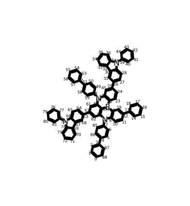 c1ccc(-c2ccc(N3c4ccc(-c5ccccc5)cc4B4c5ccc(-c6ccc7c(c6)c6ccccc6n7-c6ccccc6)cc5N(c5ccc(-c6ccccc6)cc5)c5cc(-c6ccc7c(c6)c6ccccc6n7-c6ccccc6)cc3c54)cc2)cc1